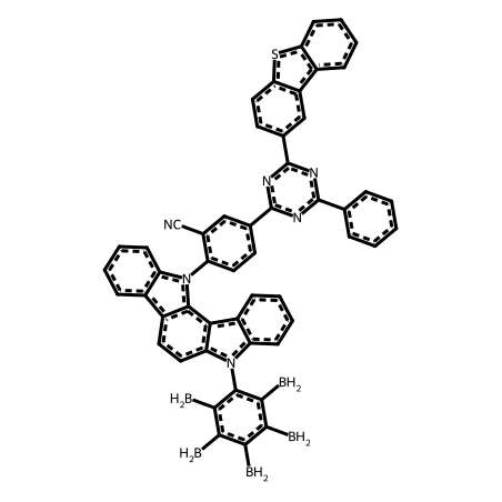 Bc1c(B)c(B)c(-n2c3ccccc3c3c2ccc2c4ccccc4n(-c4ccc(-c5nc(-c6ccccc6)nc(-c6ccc7sc8ccccc8c7c6)n5)cc4C#N)c23)c(B)c1B